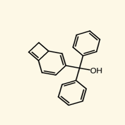 OC(C1=CC2CC=C2C=C1)(c1ccccc1)c1ccccc1